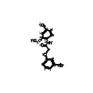 O=C(COc1cccc(Br)c1)Nc1ccc(O)cc1C(=O)O